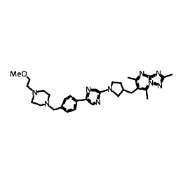 COCCN1CCN(Cc2ccc(-c3cnc(N4CCC(Cc5c(C)nc6nc(C)nn6c5C)C4)cn3)cc2)CC1